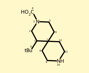 CC(C)(C)C1CN(C(=O)O)CCC12CCNCC2